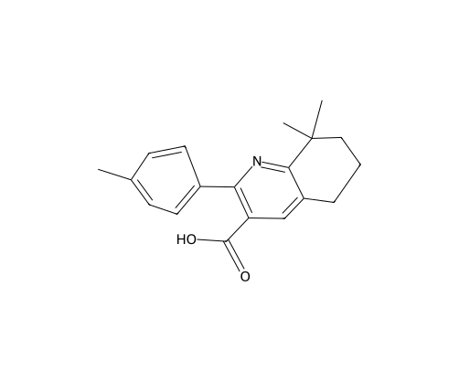 Cc1ccc(-c2nc3c(cc2C(=O)O)CCCC3(C)C)cc1